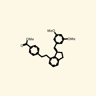 COC(=O)c1ccc(CCc2cccc3c2C(=Cc2cc(OC)cc(OC)c2)CC3)cc1